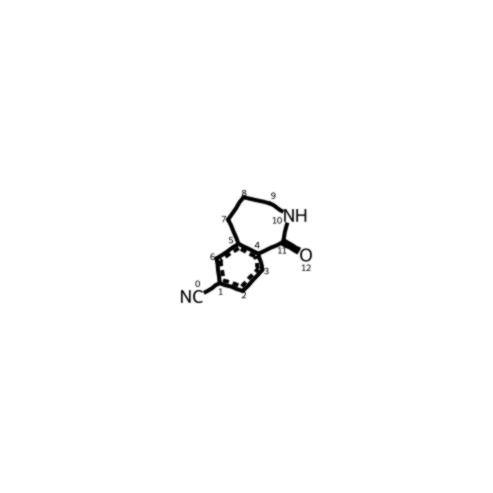 N#Cc1ccc2c(c1)CCCNC2=O